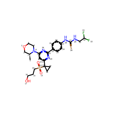 C[C@H]1COCCN1c1cc(C2(S(=O)(=O)CCCO)CC2)nc(-c2ccc(NC(=S)NCC(F)F)cc2)n1